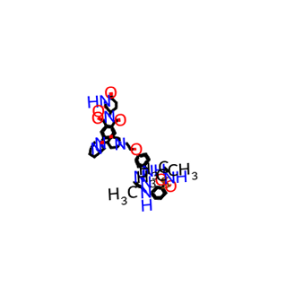 Cc1cnc(Nc2ccc(OCCN3CCC(CN4C5CCC4CN(c4ccc6c(c4)C(=O)N(C4CCC(=O)NC4=O)C6=O)C5)CC3)cc2)nc1Nc1cccc(S(=O)(=O)NC(C)(C)C)c1